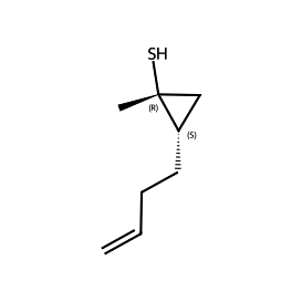 C=CCC[C@H]1C[C@@]1(C)S